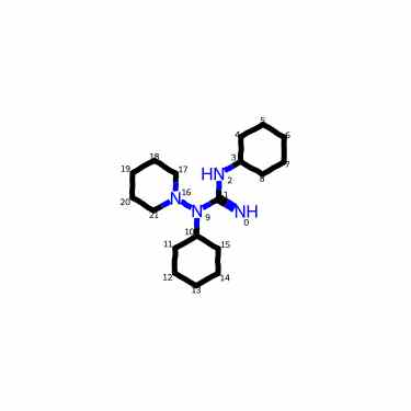 N=C(NC1CCCCC1)N(C1CCCCC1)N1CCCCC1